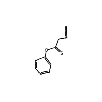 C=CCC(=S)Oc1ccccc1